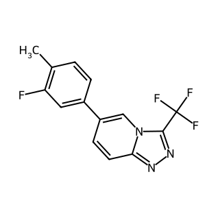 Cc1ccc(-c2ccc3nnc(C(F)(F)F)n3c2)cc1F